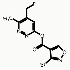 CCc1nocc1C(=O)Oc1cc(CF)c(C)nn1